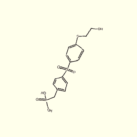 O=P(O)(O)Cc1ccc(S(=O)(=O)c2ccc(OCCO)cc2)cc1